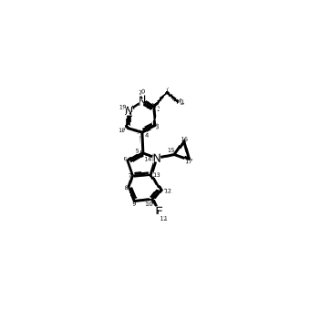 CCc1cc(-c2cc3ccc(F)cc3n2C2CC2)cnn1